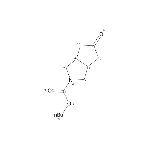 CCCCOC(=O)N1CC2CC(=O)CC2C1